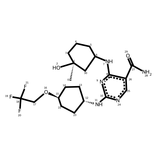 C[C@]1(O)CCCC(Nc2nc(N[C@H]3CC[C@H](OCC(F)(F)F)CC3)ncc2C(N)=O)C1